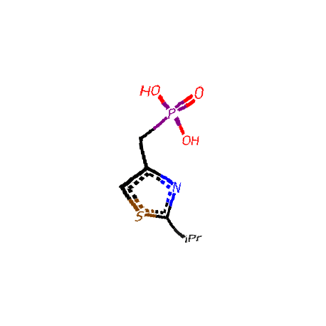 CC(C)c1nc(CP(=O)(O)O)cs1